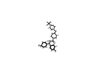 CC(C)(C)N1CCN(CC2CCN(C(=O)NC(c3ccc(F)cc3)c3ccc(F)cc3)CC2)CC1